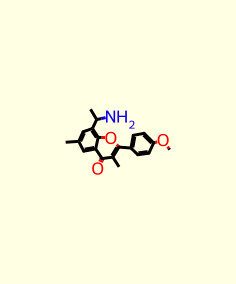 COc1ccc(-c2oc3c(C(C)N)cc(C)cc3c(=O)c2C)cc1